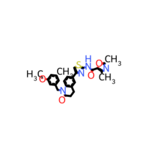 COc1cc(C)cc(CN2C(=O)CCc3cc(-c4csc(NC(=O)c5oc(C)nc5C)n4)ccc32)c1